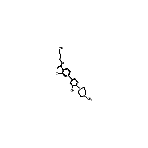 CN1CCN(c2ncc(-c3ccc(C(=O)NCCCO)c(Cl)c3)cc2C#N)CC1